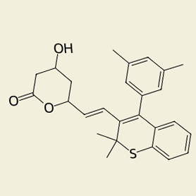 Cc1cc(C)cc(C2=C(C=CC3CC(O)CC(=O)O3)C(C)(C)Sc3ccccc32)c1